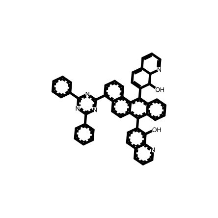 Oc1c(-c2c3ccccc3c(C3=CC=C4C=CC=NC4C3O)c3c2ccc2c(-c4nc(-c5ccccc5)nc(-c5ccccc5)n4)cccc23)ccc2cccnc12